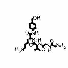 CC(C)[C@H](NC(=O)CNC(=O)CN)C(=O)N[C@@H](CCCCN)C(=O)Nc1ccc(CO)cc1